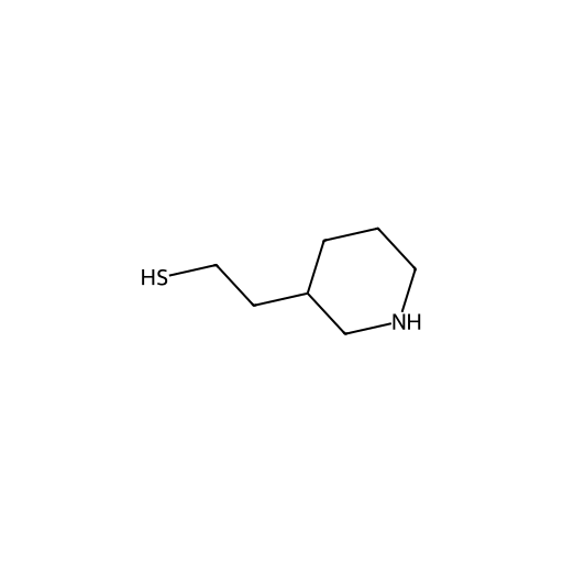 SCCC1CCCNC1